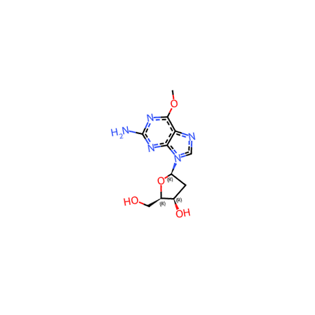 COc1nc(N)nc2c1ncn2[C@H]1C[C@@H](O)[C@@H](CO)O1